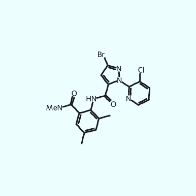 CNC(=O)c1cc(C)cc(C)c1NC(=O)c1cc(Br)nn1-c1ncccc1Cl